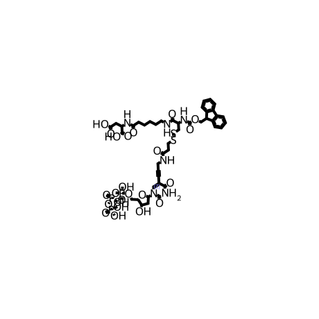 NC(=O)/C(C#CCNC(=O)CCSSCC(NC(=O)OCC1c2ccccc2-c2ccccc21)C(=O)NCCCCCC(=O)NC(CC(=O)O)C(=O)O)=C\N(C=O)C1CC(O)C(COP(=O)(O)OP(=O)(O)OP(=O)(O)O)O1